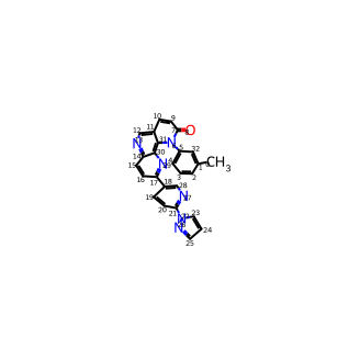 Cc1cccc(-n2c(=O)ccc3cnc4ccc(-c5ccc(-n6cccn6)nc5)nc4c32)c1